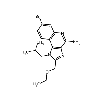 CCOCc1nc2c(N)nc3cc(Br)ccc3c2n1CC(C)C